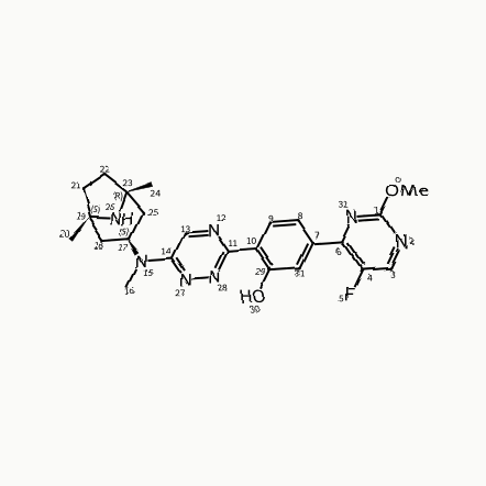 COc1ncc(F)c(-c2ccc(-c3ncc(N(C)[C@H]4C[C@]5(C)CC[C@](C)(C4)N5)nn3)c(O)c2)n1